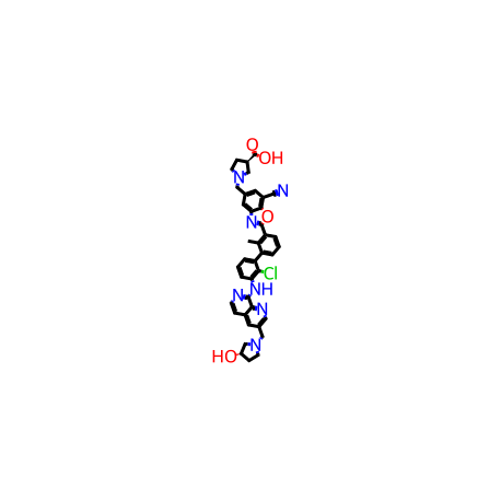 Cc1c(-c2nc3cc(CN4CC[C@@H](C(=O)O)C4)cc(C#N)c3o2)cccc1-c1cccc(Nc2nccc3cc(CN4CC[C@H](O)C4)cnc23)c1Cl